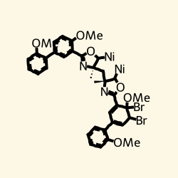 COc1ccccc1C1=CC(Br)C(Br)(OC)C(C2=N[C@](C)(C[C@@]3(C)N=C(c4cc(-c5ccccc5OC)ccc4OC)O[CH]3[Ni])[CH]([Ni])O2)=C1